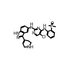 CP(C)(=O)c1ccccc1Nc1nc(Nc2ccc3[nH]nc(C4=CCNCC4)c3c2)ncc1Cl